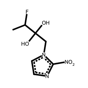 CC(F)C(O)(O)Cn1ccnc1[N+](=O)[O-]